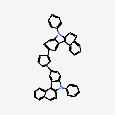 c1ccc(-n2c3ccc(-c4cccc(-c5ccc6c(c5)c5c7ccccc7ccc5n6-c5ccccc5)c4)cc3c3c4ccccc4ccc32)cc1